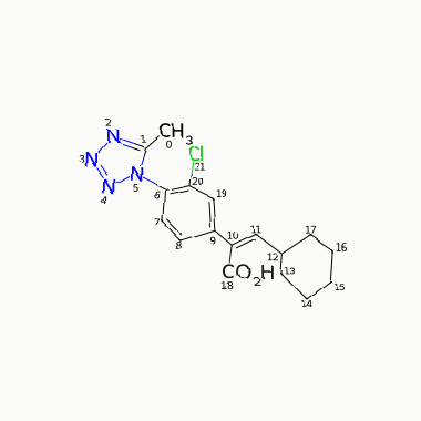 Cc1nnnn1-c1ccc(C(=CC2CCCCC2)C(=O)O)cc1Cl